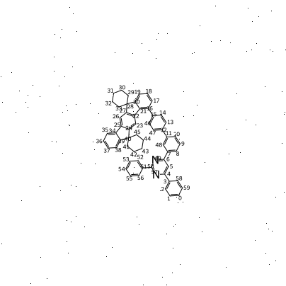 c1ccc(-c2cc(-c3cccc(-c4ccc(-c5cccc6c5-c5cc7c(cc5C65CCCCC5)-c5ccccc5C75CCCCC5)cc4)c3)nc(-c3ccccc3)n2)cc1